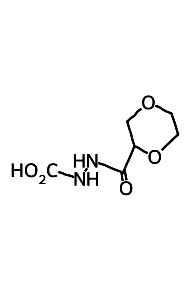 O=C(O)NNC(=O)C1COCCO1